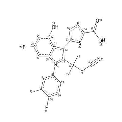 Cc1cc(-n2c(C(C)(C)CC#N)c(-c3ccc(C(=O)O)s3)c3c(O)cc(F)cc32)ccc1F